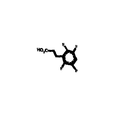 O=C(O)CCc1c(F)c(F)cc(F)c1F